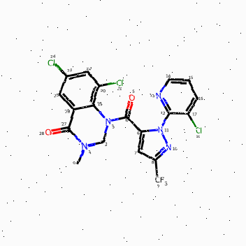 CN1CN(C(=O)c2cc(C(F)(F)F)nn2-c2ncccc2Cl)c2c(Cl)cc(Cl)cc2C1=O